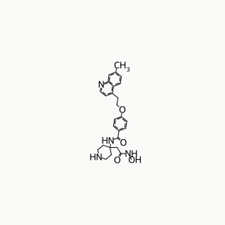 Cc1ccc2c(CCOc3ccc(C(=O)NC4(CC(=O)NO)CCNCC4)cc3)ccnc2c1